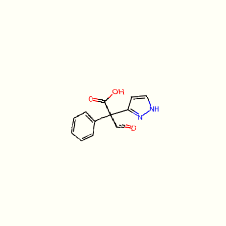 O=CC(C(=O)O)(c1ccccc1)c1cc[nH]n1